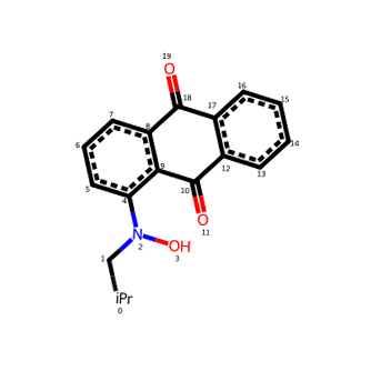 CC(C)CN(O)c1cccc2c1C(=O)c1ccccc1C2=O